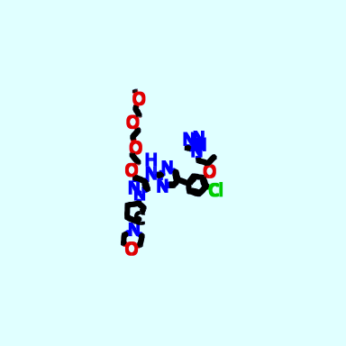 COCCOCCOCCOc1nn(C2CCC(N3CCOCC3)CC2)cc1Nc1ncc(-c2ccc(Cl)c(OC(C)Cn3cnnn3)c2)cn1